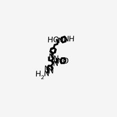 Nc1ncc(-c2nc(N3CCOCC3)nc3c2CCN3c2ccc(CCC(O)N3CCNCC3)cc2)cn1